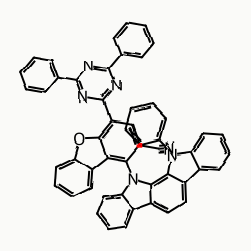 N#Cc1cc(-c2nc(-c3ccccc3)nc(-c3ccccc3)n2)c2oc3ccccc3c2c1-n1c2ccccc2c2ccc3c4ccccc4n(-c4ccccc4)c3c21